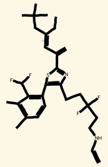 C=CNCCC(F)(F)CCc1nc(C(=C)/C=C(\CC)CC(C)(C)C)sc1-c1ccc(C)c(C)c1C(F)F